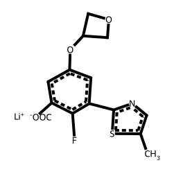 Cc1cnc(-c2cc(OC3COC3)cc(C(=O)[O-])c2F)s1.[Li+]